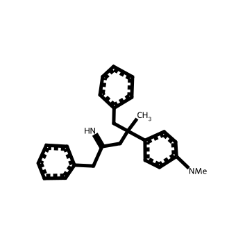 CNc1ccc(C(C)(CC(=N)Cc2ccccc2)Cc2ccccc2)cc1